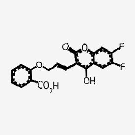 O=C(O)c1ccccc1OCC=Cc1c(O)c2cc(F)c(F)cc2oc1=O